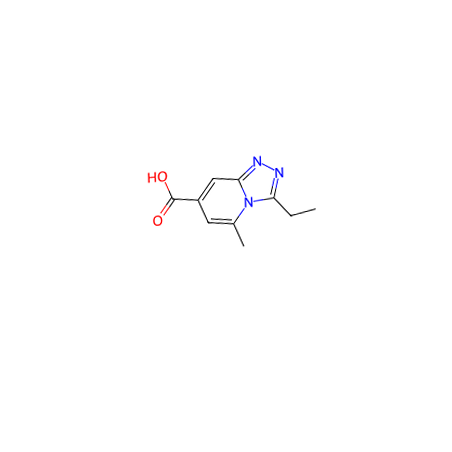 CCc1nnc2cc(C(=O)O)cc(C)n12